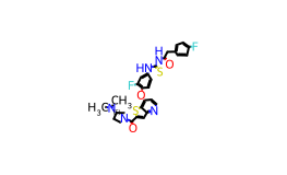 CN(C)[C@H]1CCN(C(=O)c2cc3nccc(Oc4ccc(NC(=S)NC(=O)Cc5ccc(F)cc5)cc4F)c3s2)C1